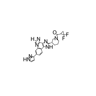 Nc1nc2cc(-c3cc[nH]n3)ccc2c2[nH]c([C@@H]3CCCN(C(=O)C4CC4(F)F)C3)nc12